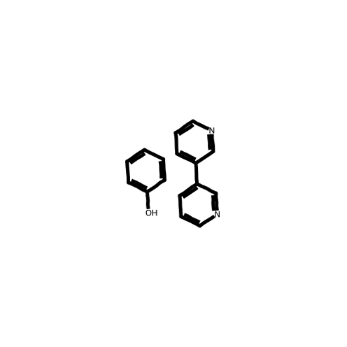 Oc1ccccc1.c1cncc(-c2cccnc2)c1